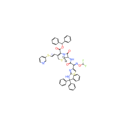 O=C(NC1C(=O)N2C(C(=O)OC(c3ccccc3)c3ccccc3)=C(/C=C/Sc3cccnc3)CS[C@@H]12)C(=NOC(F)F)c1csc(NC(c2ccccc2)(c2ccccc2)c2ccccc2)n1